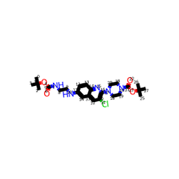 CC(C)(C)OC(=O)NCCNc1ccc2nc(N3CCN(C(=O)OC(C)(C)C)CC3)c(Cl)cc2c1